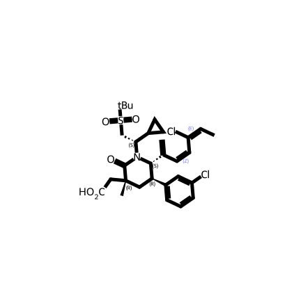 C=C(/C=C\C(Cl)=C/C)[C@@H]1[C@@H](c2cccc(Cl)c2)C[C@](C)(CC(=O)O)C(=O)N1[C@H](CS(=O)(=O)C(C)(C)C)C1CC1